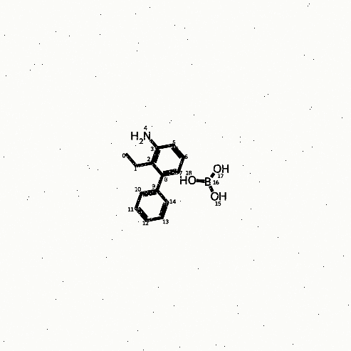 CCc1c(N)cccc1-c1ccccc1.OB(O)O